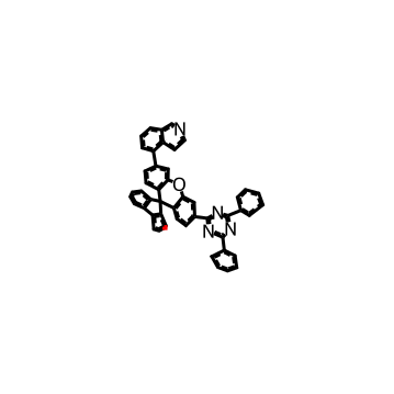 c1ccc(-c2nc(-c3ccccc3)nc(-c3ccc4c(c3)Oc3cc(-c5cccc6cnccc56)ccc3C43c4ccccc4-c4ccccc43)n2)cc1